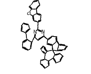 c1ccc(-c2ccccc2-c2cc(-c3ccc4c(c3)C3(c5ccccc5-c5ccccc5-c5ccccc53)c3ccccc3-4)nc(-c3ccc4c(c3)oc3ccccc34)n2)cc1